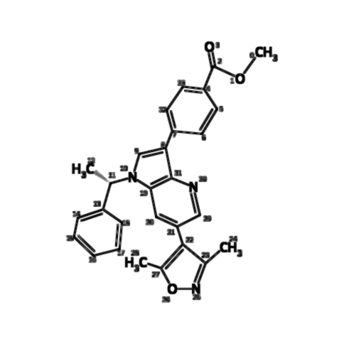 COC(=O)c1ccc(-c2cn([C@@H](C)c3ccccc3)c3cc(-c4c(C)noc4C)cnc23)cc1